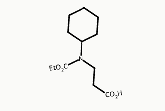 CCOC(=O)N(CCC(=O)O)C1CCCCC1